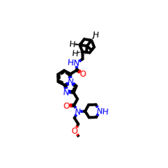 COCCN(C(=O)Cc1cn2c(C(=O)NC[C@@H]3CC[C@@H]4C[C@@H]3C4(C)C)cccc2n1)C1CCNCC1